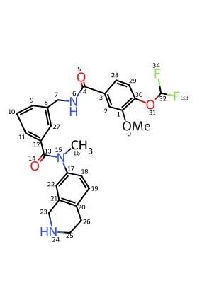 COc1cc(C(=O)NCc2cccc(C(=O)N(C)c3ccc4c(c3)CNCC4)c2)ccc1OC(F)F